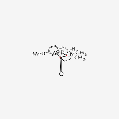 COc1ccc2c(c1)[C@]13CCN(C)[C@H](C2)[C@]1(OC)[C@@H](C)CC(=O)C3